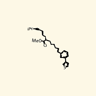 COC(=O)C(CC=CC#CC(C)C)CCCCC=Cc1cccc(-c2ccsc2)c1